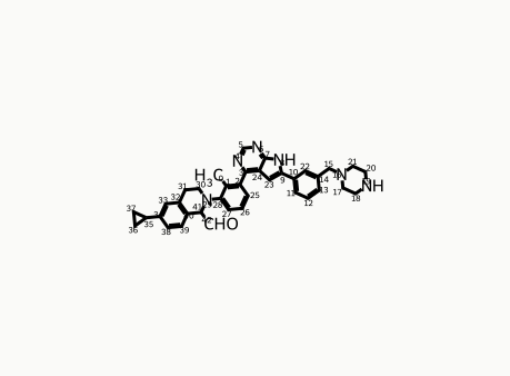 Cc1c(-c2ncnc3[nH]c(-c4cccc(CN5CCNCC5)c4)cc23)cccc1N1CCc2cc(C3CC3)ccc2C1C=O